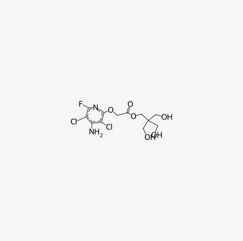 Nc1c(Cl)c(F)nc(OCC(=O)OCC(CO)(CO)CO)c1Cl